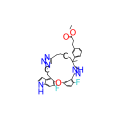 CCOC(=O)CCc1cccc(C2(C)CCCCc3cn(nn3)CCc3c(c(F)cc4[nH]ccc34)Oc3ccc(F)c(c3)-c3ncc2[nH]3)c1